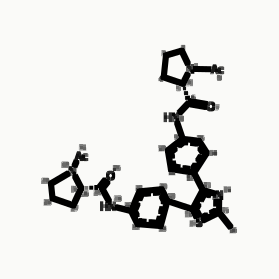 CC(=O)N1CCC[C@H]1C(=O)Nc1ccc(-c2nc(C)sc2-c2ccc(NC(=O)[C@@H]3CCCN3C(C)=O)cc2)cc1